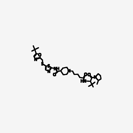 CC1CCCN1C(=O)C(NC(=O)CCCCN1CCC(C(=O)Nc2ncc(SCc3ncc(C(C)(C)C)o3)s2)CC1)C(C)(C)C